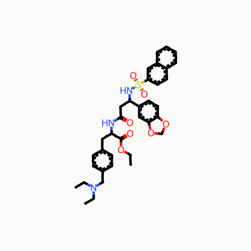 CCOC(=O)C(Cc1ccc(CN(CC)CC)cc1)NC(=O)CC(NS(=O)(=O)c1ccc2ccccc2c1)c1ccc2c(c1)OCO2